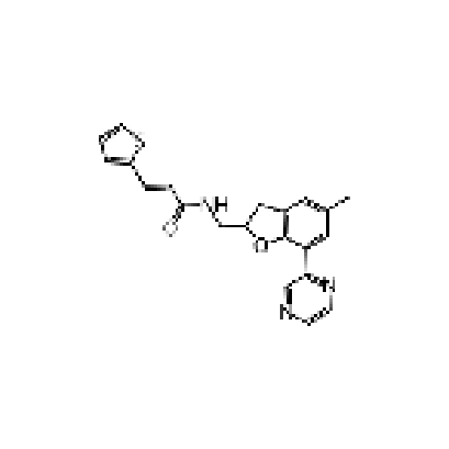 Cc1cc2c(c(-c3cnccn3)c1)OC(CNC(=O)C=Cc1cccs1)C2